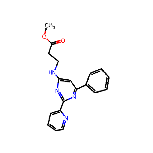 COC(=O)CCNc1cc(-c2ccccc2)nc(-c2ccccn2)n1